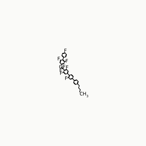 CCCCCc1ccc(-c2ccc(-c3cc(F)c(C(F)(F)Oc4cc(F)c(-c5ccc(F)cc5)c(F)c4)c(F)c3)c(F)c2)cc1